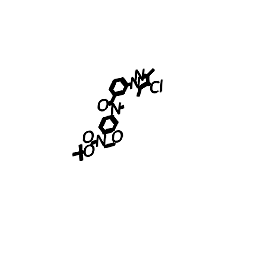 Cc1nn(-c2cccc(C(=O)N(C)c3ccc4c(c3)OCCN4C(=O)OC(C)(C)C)c2)c(C)c1Cl